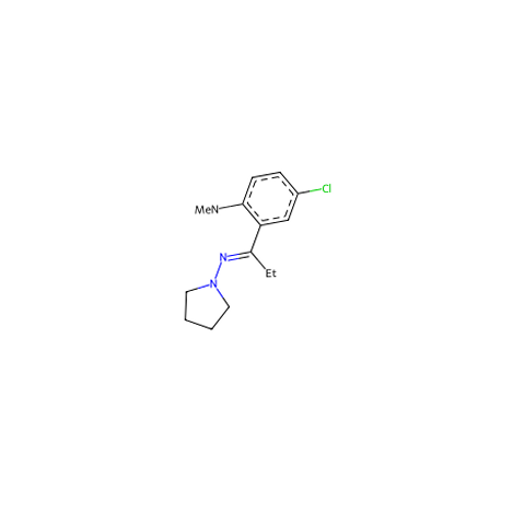 CC/C(=N\N1CCCC1)c1cc(Cl)ccc1NC